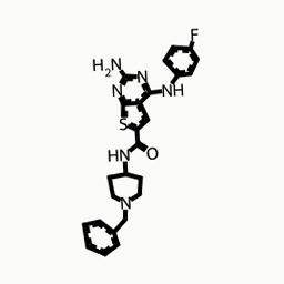 Nc1nc(Nc2ccc(F)cc2)c2cc(C(=O)NC3CCN(Cc4ccccc4)CC3)sc2n1